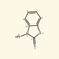 CCCn1c(=S)sc2ccccc21